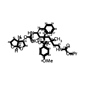 COc1ccc(S(=O)(=O)C(N)(CC(C)(C)CCNC(=O)OC(C)C)[C@H](O)[C@H](Cc2ccccc2)NC(=O)O[C@@H]2CO[C@@H]3OCC[C@@H]32)cc1